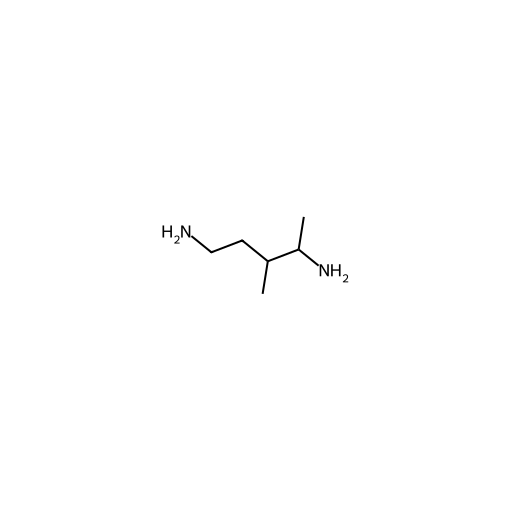 CC(N)C(C)CCN